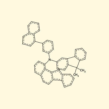 CC1(C)c2ccccc2-c2cc(N(c3cccc(-c4cccc5ccccc45)c3)c3cccc4ccc5c6ccccc6sc5c34)ccc21